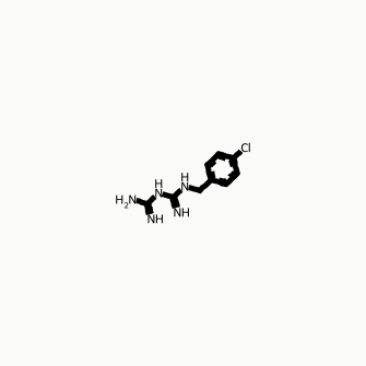 N=C(N)NC(=N)NCc1ccc(Cl)cc1